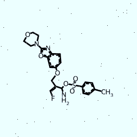 Cc1ccc(S(=O)(=O)OC(N)/C(=C\F)COc2ccc3nc(N4CCOCC4)oc3c2)cc1